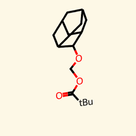 CC(C)(C)C(=O)OCOC1C2CC3CC(C2)CC1C3